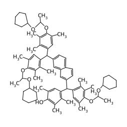 Cc1cc(C(c2ccc3ccc(C(c4cc(C)c(OC(C)OC5CCCCC5)c(C)c4C)c4cc(C)c(OC(C)OC5CCCCC5)c(C)c4C)cc3c2)c2cc(C)c(OC(C)OC3CCCCC3)c(C)c2C)c(C)c(C)c1O